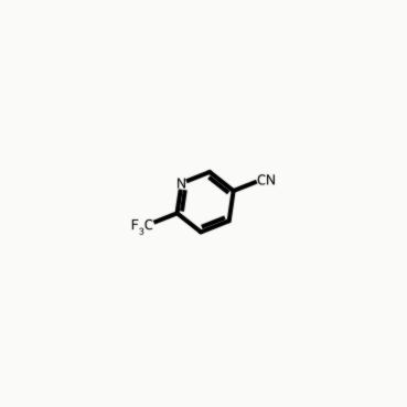 N#Cc1ccc(C(F)(F)F)nc1